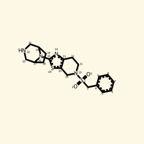 O=S(=O)(Cc1ccccc1)N1CCc2nc(N3C4CCC3CNC4)sc2C1